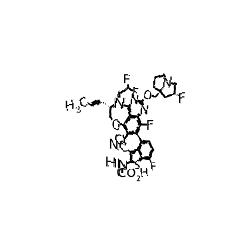 C/C=C/[C@H]1COc2c(Cl)c(-c3ccc(F)c4sc(NC(=O)O)c(C#N)c34)c(F)c3nc(OC[C@@]45CCCN4C[C@H](F)C5)nc(c23)N1CC(F)F